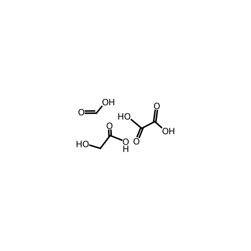 O=C(O)C(=O)O.O=C(O)CO.O=CO